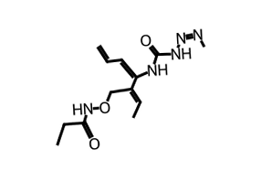 C=C/C=C(NC(=O)N/N=N\C)\C(=C\C)CONC(=O)CC